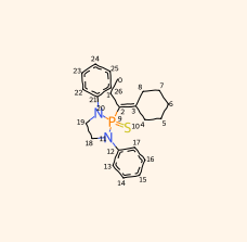 CCC(=C1CCCCC1)P1(=S)N(c2ccccc2)CCN1c1ccccc1